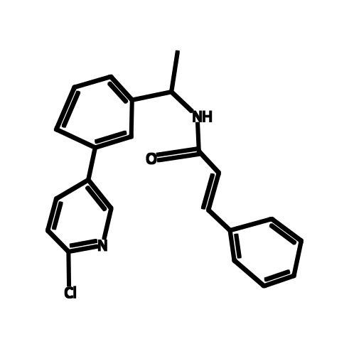 CC(NC(=O)C=Cc1ccccc1)c1cccc(-c2ccc(Cl)nc2)c1